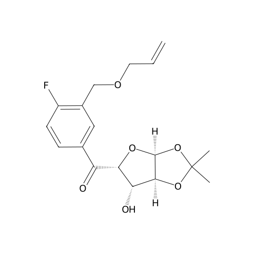 C=CCOCc1cc(C(=O)[C@@H]2O[C@H]3OC(C)(C)O[C@H]3[C@@H]2O)ccc1F